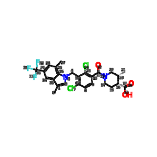 Cc1cn(Cc2c(Cl)ccc(C(=O)N3CC[C@@H](C(=O)O)[C@@H](C)C3)c2Cl)c2c(C)cc(C(F)(F)F)cc12